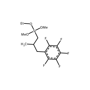 CCO[Si](CC(C)Cc1c(F)c(F)c(F)c(F)c1F)(OC)OC